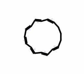 [C]1=C/C=C/C=C/C=C\C=C\C=C\C=C\CCC\1